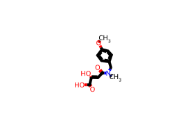 COc1ccc(CN(C)C(=O)/C=C(\O)C(=O)O)cc1